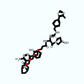 Cc1ncsc1-c1ccc(CNC(=O)[C@@H]2C[C@@H](O)CN2C(=O)C(NC(=O)CCCCCCCCC(=O)N2C3CCC2CN(c2cc(-c4ccccc4O)nnc2N)C3)C(C)(C)C)cc1